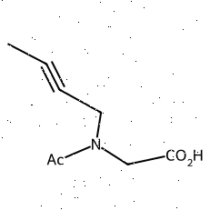 CC#CCN(CC(=O)O)C(C)=O